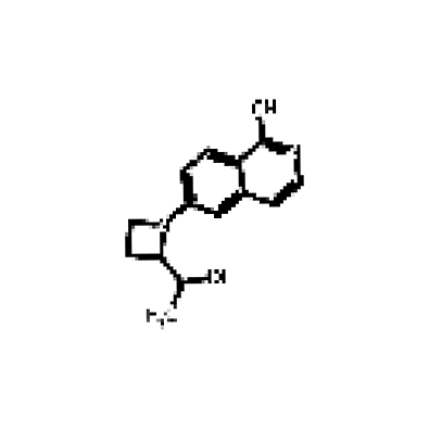 N#Cc1nccc2cc(N3CCC3C(O)C(F)(F)F)ccc12